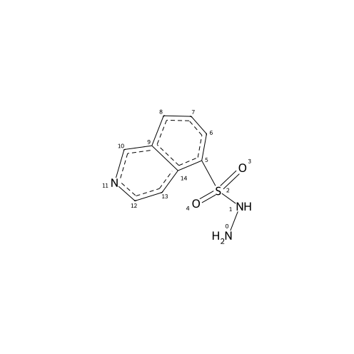 NNS(=O)(=O)c1cccc2cnccc12